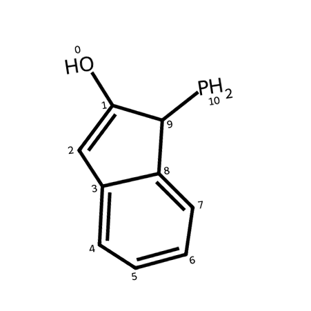 OC1=Cc2ccccc2C1P